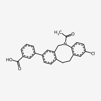 CC(=O)N1Cc2cc(-c3cccc(C(=O)O)c3)ccc2CCc2cc(Cl)ccc21